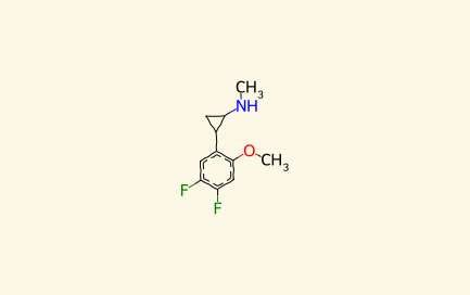 CNC1CC1c1cc(F)c(F)cc1OC